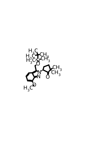 COc1cccc2c(CO[Si](C)(C)C(C)(C)C)n([C@H]3CCC(C)(C)C3=O)nc12